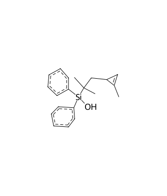 CC1=CC1CC(C)(C)[Si](O)(c1ccccc1)c1ccccc1